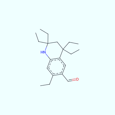 CCc1cc2c(cc1C=O)C(CC)(CC)CC(CC)(CC)N2